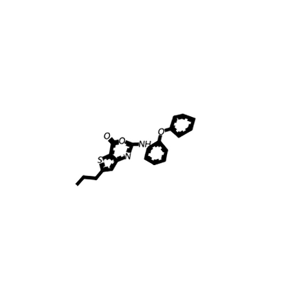 CCCc1cc2nc(Nc3ccccc3Oc3ccccc3)oc(=O)c2s1